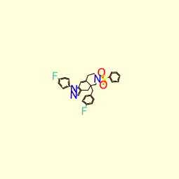 O=S(=O)(c1ccccc1)N1CCC2=Cc3c(cnn3-c3ccc(F)cc3)CC2(Cc2ccc(F)cc2)C1